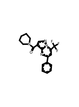 O=C(c1cnn2c(C(F)(F)F)cc(-c3ccccc3)nc12)N1CCCCC1